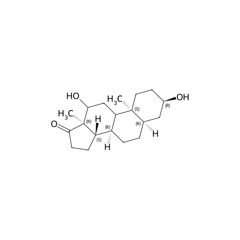 C[C@@]12C(=O)CC[C@H]1[C@@H]1CC[C@@H]3C[C@H](O)CC[C@]3(C)C1CC2O